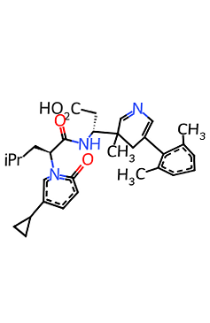 Cc1cccc(C)c1C1=CN=CC(C)([C@@H](CC(=O)O)NC(=O)[C@H](CC(C)C)n2cc(C3CC3)ccc2=O)C1